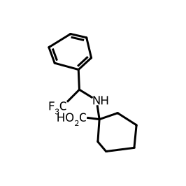 O=C(O)C1(NC(c2ccccc2)C(F)(F)F)CCCCC1